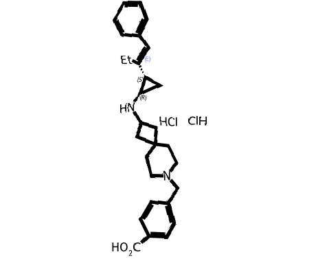 CC/C(=C\c1ccccc1)[C@@H]1C[C@H]1NC1CC2(CCN(Cc3ccc(C(=O)O)cc3)CC2)C1.Cl.Cl